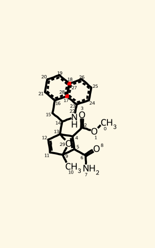 COC(=O)C1=C(C(N)=O)C2(C)C=CC1(C(Cc1ccccc1)Nc1ccccc1)O2